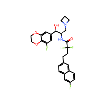 O=C(N[C@H](CN1CCC1)[C@H](O)c1cc(F)c2c(c1)OCCO2)C(F)(F)CCc1ccc2cc(F)ccc2c1